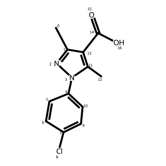 Cc1nn(-c2ccc(Cl)cc2)c(C)c1C(=O)O